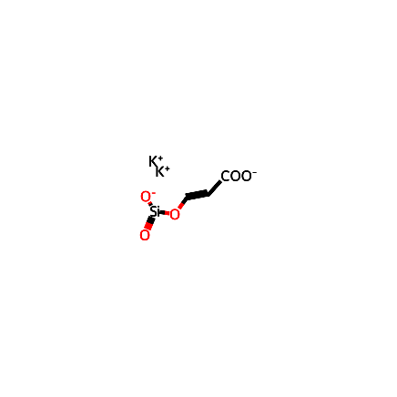 O=C([O-])C=CO[Si](=O)[O-].[K+].[K+]